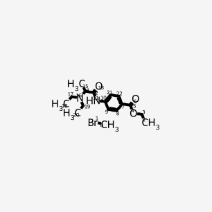 CBr.CCOC(=O)c1ccc(NC(=O)C(C)N(CC)CC)cc1